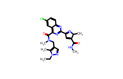 CCn1ncc(CN(C)C(=O)c2nc(C3=NC(C)C(C(=O)NC)=C3)nc3ccc(Cl)cc23)c1C